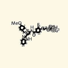 COc1ccc(Cn2nc(NC(=O)c3ccc(OCCO[Si](C)(C)C(C)(C)C)c(F)c3)cc2-c2nc3ccccc3[nH]2)cc1